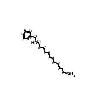 [SiH3]CCCCCCCCCCCCNCc1ccccc1